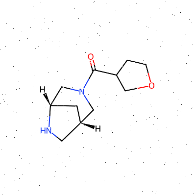 O=C(C1CCOC1)N1C[C@@H]2CN[C@@H](C2)C1